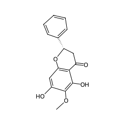 COc1c(O)cc2c(c1O)C(=O)C[C@@H](c1ccccc1)O2